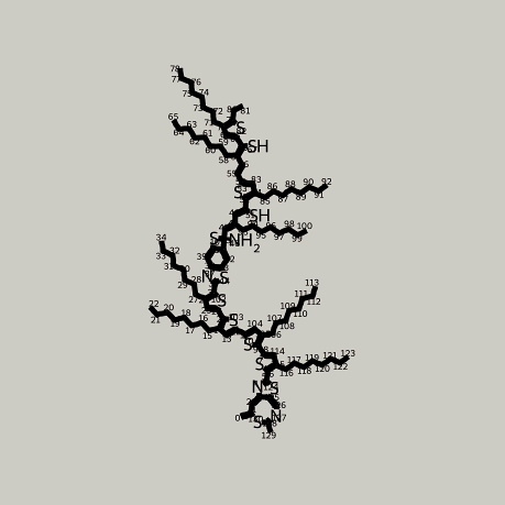 C=C1/C=c2/nc(-c3sc(-c4sc(-c5cc(CCCCCCCC)c(-c6cc(CCCCCCCC)c(-c7nc8cc9c(cc8s7)[C@@](N)(/C=C(/C=C(\S)c7sc(/C=C/C(CCCCCCCC)=C(\S)c8cc(CCCCCCCC)c(CC)s8)cc7CCCCCCCC)CCCCCCCC)S9)s6)s5)cc4CCCCCCCC)cc3CCCCCCCC)s/c2=C/N=C(/C)S1